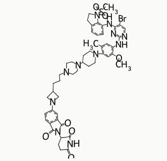 COc1cc(N2CCC(N3CCN(CCCC4CN(c5ccc6c(c5)C(=O)N(C5CCC(=O)NC5=O)C6=O)C4)CC3)CC2)c(C)cc1Nc1ncc(Br)c(Nc2cccc3c2N(S(C)(=O)=O)CC3)n1